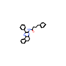 O=C(CCCc1ccccc1)Nc1nc2c(nc1-c1ccccc1)-c1ccccc1CC2